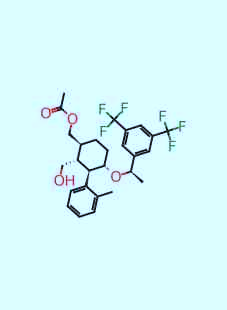 CC(=O)OC[C@H]1CC[C@H](O[C@H](C)c2cc(C(F)(F)F)cc(C(F)(F)F)c2)[C@@H](c2ccccc2C)[C@@H]1CO